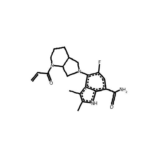 C=CC(=O)N1CCCC2CN(c3c(F)cc(C(N)=O)c4[nH]c(C)c(C)c34)CC21